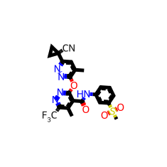 Cc1cc(C2(C#N)CC2)nnc1Oc1nnc(C(F)(F)F)c(C)c1C(=O)Nc1cccc(S(C)(=O)=O)c1